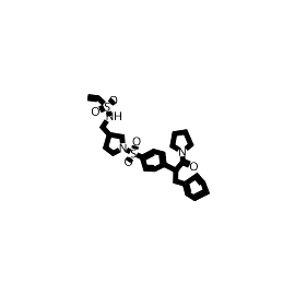 C=CS(=O)(=O)NCC1CCN(S(=O)(=O)c2ccc(C(Cc3ccccc3)C(=O)N3CCCC3)cc2)C1